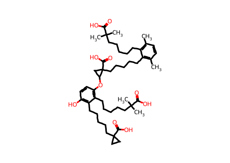 Cc1ccc(C)c(CCCCCC2(C(=O)O)CC2Oc2ccc(O)c(CCCCCC3(C(=O)O)CC3)c2CCCCCC(C)(C)C(=O)O)c1CCCCCC(C)(C)C(=O)O